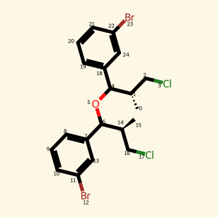 C[C@@H](CCl)C(OC(c1cccc(Br)c1)[C@@H](C)CCl)c1cccc(Br)c1